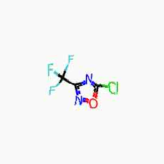 FC(F)(F)c1noc(Cl)n1